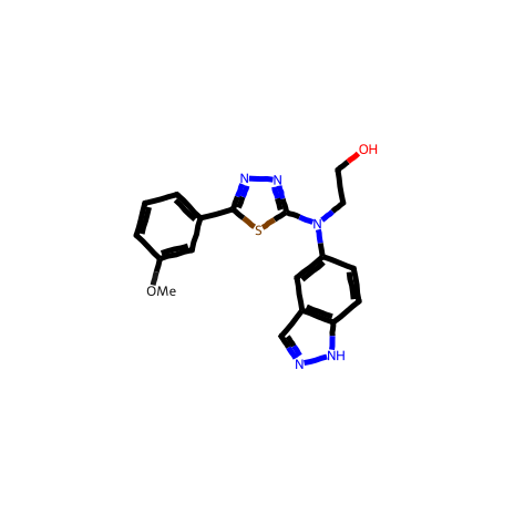 COc1cccc(-c2nnc(N(CCO)c3ccc4[nH]ncc4c3)s2)c1